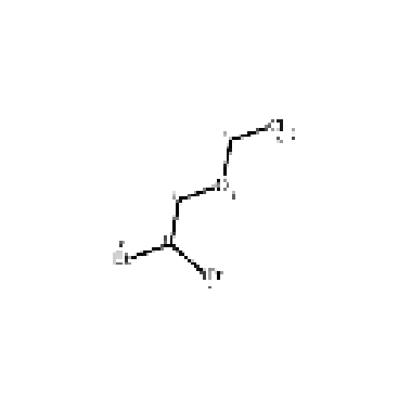 CCC(COCC(F)(F)F)C(C)C